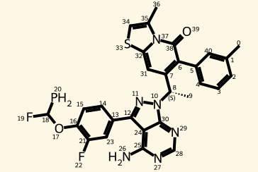 Cc1cccc(-c2c([C@H](C)n3nc(-c4ccc(OC(F)P)c(F)c4)c4c(N)ncnc43)cc3scc(C)n3c2=O)c1